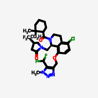 Cn1nnc(COc2ccc(Cl)c3c2[C@@H](CN2CC(C(F)(F)F)CC2=O)N(C(=O)C2CCCCC2(C)C(=O)O)CC3)c1C(F)F